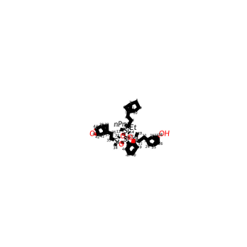 CCCC(CC)(CCC1CC2CCC1C2)[Si](C)(C)O[Si](O[Si](C)(C)CCC1CC2CC(O)C1C2)(O[Si](C)(C)CCC1CC2CC1C1OC21)c1ccccc1